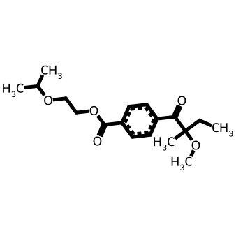 CCC(C)(OC)C(=O)c1ccc(C(=O)OCCOC(C)C)cc1